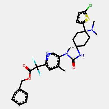 Cc1cc(C(F)(F)C(=O)OCc2ccccc2)ncc1N1C[C@]2(CC[C@](c3ccc(Cl)s3)(N(C)C)CC2)NC1=O